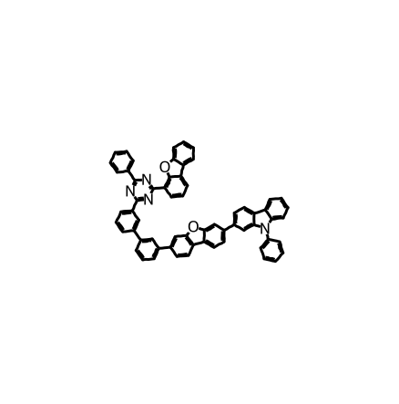 c1ccc(-c2nc(-c3cccc(-c4cccc(-c5ccc6c(c5)oc5cc(-c7ccc8c9ccccc9n(-c9ccccc9)c8c7)ccc56)c4)c3)nc(-c3cccc4c3oc3ccccc34)n2)cc1